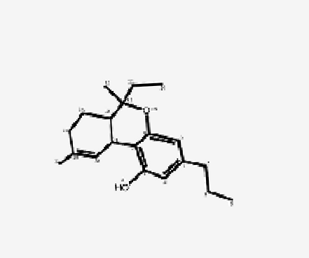 CCCc1cc(O)c2c(c1)OC(C)(CC)C1CCC(C)=CC21